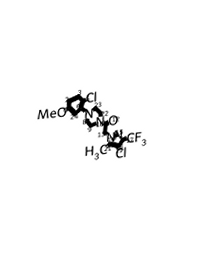 COc1ccc(Cl)c(N2CCN(C(=O)Cn3nc(C(F)(F)F)c(Cl)c3C)CC2)c1